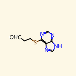 O=CCCSc1ncnc2[nH]cnc12